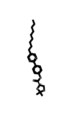 CCCCCCCCCc1cnc(-c2ccc(OC(=O)[C@H]3COC(C)(C)O3)cc2)nc1